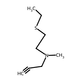 C#CCN(C)CCSCC